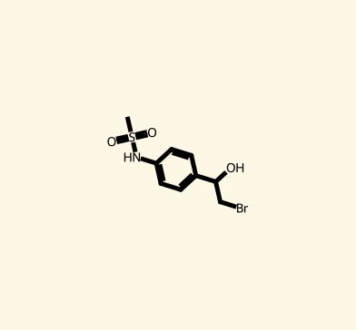 CS(=O)(=O)Nc1ccc(C(O)CBr)cc1